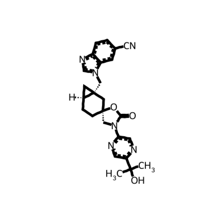 CC(C)(O)c1cnc(N2C[C@@]3(CC[C@H]4C[C@@]4(Cn4cnc5ccc(C#N)cc54)C3)OC2=O)cn1